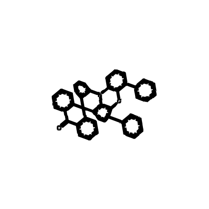 O=C1c2ccccc2C2(c3ccccc31)c1ccccc1N1c3cccc(-c4ccccc4)c3Oc3c(-c4ccccc4)ccc2c31